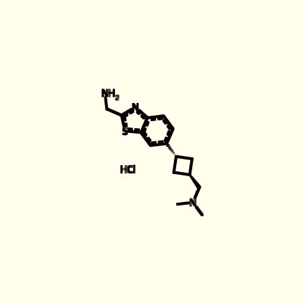 CN(C)C[C@H]1C[C@H](c2ccc3nc(CN)sc3c2)C1.Cl